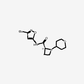 CC(C)(C)c1cc(NC(=O)[C@@H]2CCN2C2CCOCC2)on1